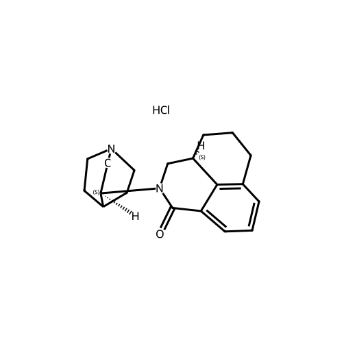 Cl.O=C1c2cccc3c2[C@H](CCC3)CN1[C@@H]1CN2CCC1CC2